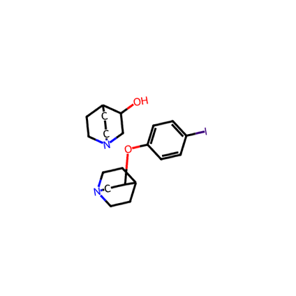 Ic1ccc(OC2CN3CCC2CC3)cc1.OC1CN2CCC1CC2